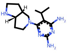 CC(C)c1c(N)nc(N)nc1N1CC[C@@H]2NCC[C@@H]2C1